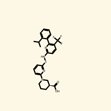 CC(C)c1ccccc1-c1nc(NSc2cccc(N3CCC[C@H](C(=O)O)C3)n2)ccc1C(F)(F)F